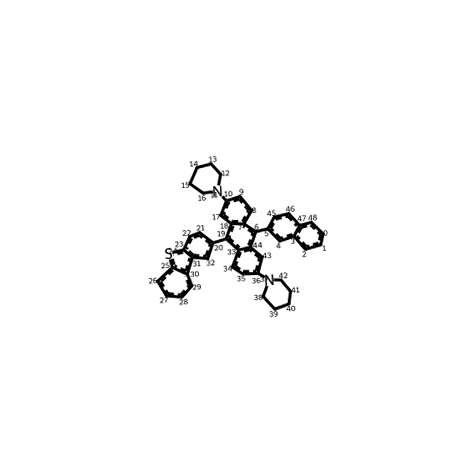 c1ccc2cc(-c3c4ccc(N5CCCCC5)cc4c(-c4ccc5sc6ccccc6c5c4)c4ccc(N5CCCCC5)cc34)ccc2c1